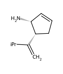 C=C(C(C)C)[C@H]1CC=C[C@H]1N